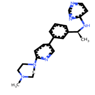 C[C@H](Nc1ccncn1)c1cccc(-c2ccc(N3CCN(C)CC3)nc2)c1